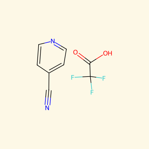 N#Cc1ccncc1.O=C(O)C(F)(F)F